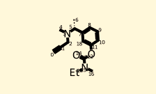 C#CCN(C)[C@H](C)c1cccc(OC(=O)N(C)CC)c1